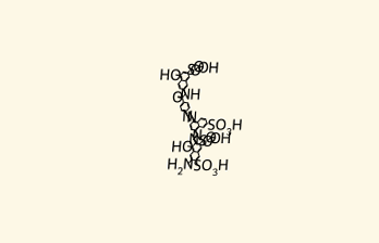 Nc1cc2c(O)c(N=Nc3ccc(N=Nc4ccc(C(=O)Nc5ccc6c(O)cc(SOOO)cc6c5)cc4)c4ccc(S(=O)(=O)O)cc34)c(SOOO)cc2cc1S(=O)(=O)O